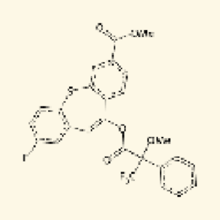 COC(=O)c1ccc2c(c1)Sc1ccc(F)cc1C=C2OC(=O)C(OC)(c1ccccc1)C(F)(F)F